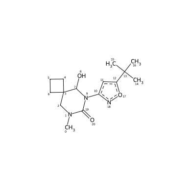 CN1CC2(CCC2)C(O)N(c2cc(C(C)(C)C)on2)C1=O